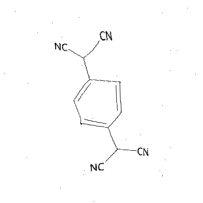 N#CC(C#N)c1ccc(C(C#N)C#N)cc1